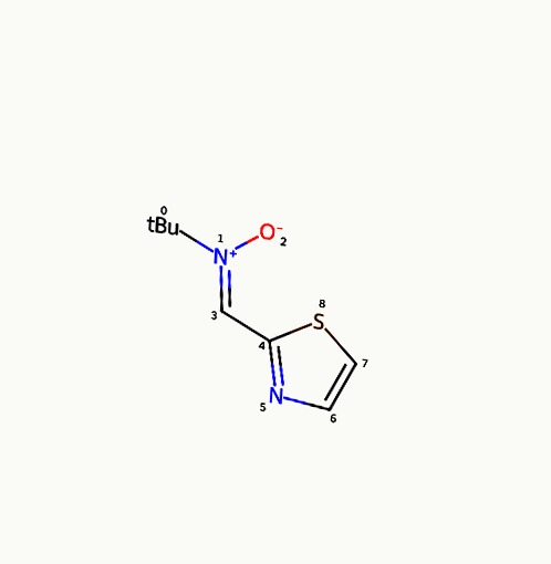 CC(C)(C)[N+]([O-])=Cc1nccs1